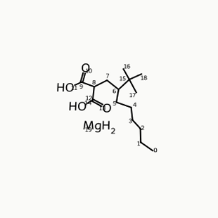 CCCCCCC(CC(C(=O)O)C(=O)O)C(C)(C)C.[MgH2]